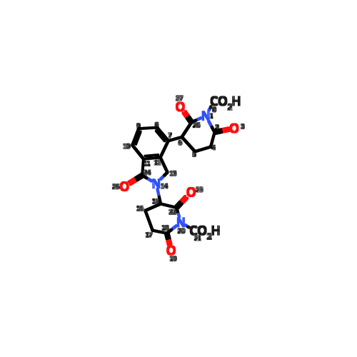 O=C(O)N1C(=O)CCC(c2cccc3c2CN(C2CCC(=O)N(C(=O)O)C2=O)C3=O)C1=O